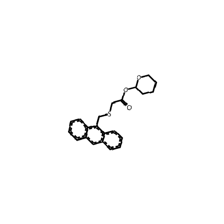 O=C(CSCc1c2ccccc2cc2ccccc12)OC1CCCCO1